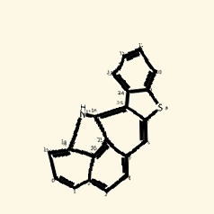 c1cc2ccc3cc4sc5ccccc5c4c4[nH]c(c1)c2c34